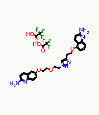 Nc1ccc2cc(OCCOCCn3cc(CCOc4cccc5nc(N)ccc45)nn3)ccc2n1.O=C(O)C(F)(F)F.O=C(O)C(F)(F)F